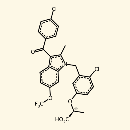 Cc1c(C(=O)c2ccc(Cl)cc2)c2ccc(OC(F)(F)F)cc2n1Cc1cc(O[C@@H](C)C(=O)O)ccc1Cl